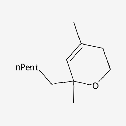 CCCCCCC1(C)C=C(C)CCO1